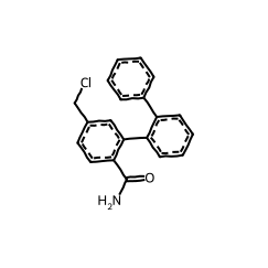 NC(=O)c1ccc(CCl)cc1-c1ccccc1-c1ccccc1